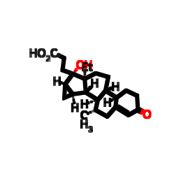 CC[C@]12CC[C@H]3[C@H]([C@@H]1[C@H]1C[C@H]1[C@@]2(O)CCC(=O)O)[C@@H](C)CC1=CC(=O)CC[C@@H]13